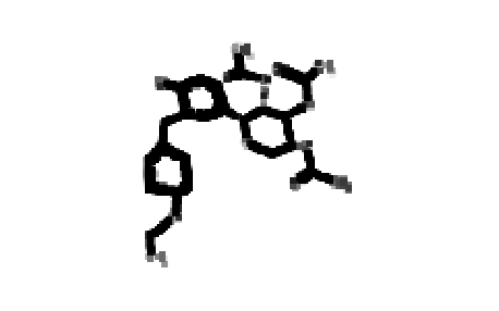 CCOc1ccc(Cc2cc([C@@H]3OC[C@@H](OC(C)=O)[C@H](OC(C)=O)[C@H]3OC(C)=O)ccc2Cl)cc1